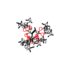 CC(=C([Si](O[SiH2][Si](C)(C)C)(O[SiH2][Si](C)(C)C)O[SiH2][Si](C)(C)C)[Si](O[SiH2][Si](C)(C)C)(O[SiH2][Si](C)(C)C)O[SiH2][Si](C)(C)C)[Si](O[SiH2][Si](C)(C)C)(O[SiH2][Si](C)(C)C)O[SiH2][Si](C)(C)C